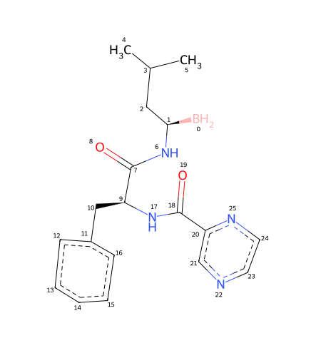 B[C@H](CC(C)C)NC(=O)[C@H](Cc1ccccc1)NC(=O)c1cnccn1